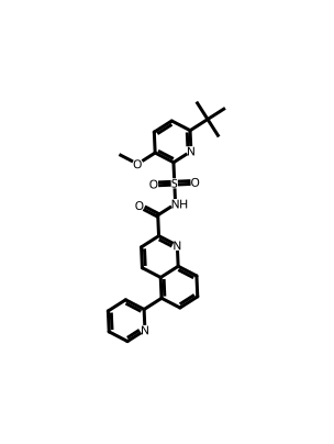 COc1ccc(C(C)(C)C)nc1S(=O)(=O)NC(=O)c1ccc2c(-c3ccccn3)cccc2n1